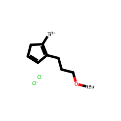 CC(C)(C)OCCCC1=[C]([Ti+2])CC=C1.[Cl-].[Cl-]